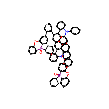 O=P1(C2C=CC=CC2)c2ccccc2Oc2cc(-c3cccc(-c4cc5cc(-c6ccccc6N(c6ccccc6)c6ccccc6)c(-c6ccccc6-c6ccc7c(c6)Oc6ccccc6P7(=O)C6C=CC=CC6)cc5cc4-c4ccccc4N(c4ccccc4)c4ccccc4)c3)ccc21